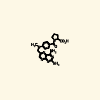 CN(Cc1cnc2nc(N)nc(N)c2n1)c1ccc(C(=O)N2CCCC2C(=O)O)cc1